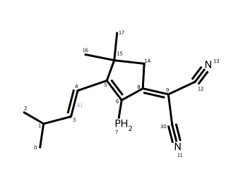 CC(C)/C=C/C1=C(P)C(=C(C#N)C#N)CC1(C)C